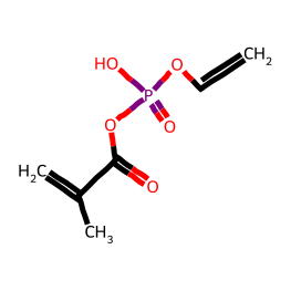 C=COP(=O)(O)OC(=O)C(=C)C